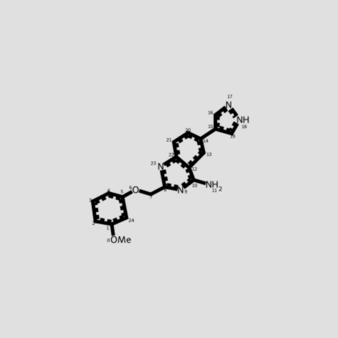 COc1cccc(OCc2nc(N)c3cc(-c4cn[nH]c4)ccc3n2)c1